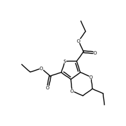 CCOC(=O)c1sc(C(=O)OCC)c2c1OCC(CC)O2